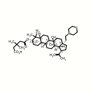 C=C(C)[C@@H]1CC[C@]2(CCN3CCSCC3)CC[C@]3(C)[C@H](CC[C@@H]4[C@@]5(C)CC[C@H](OC(=O)CC(C)(C)CC(=O)O)C(C)(C)[C@@H]5CC[C@]43C)[C@@H]12